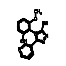 COc1cccc(O)c1-n1c(S)nnc1-c1c#ccnc1